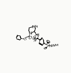 CNS(=O)(=O)c1ccc(-c2noc(C3CNCCN3C(=O)COc3ccccc3)n2)cc1